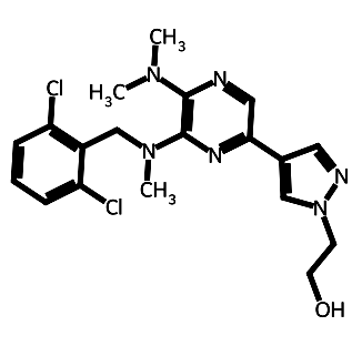 CN(C)c1ncc(-c2cnn(CCO)c2)nc1N(C)Cc1c(Cl)cccc1Cl